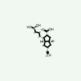 C#C[C@H]1C[C@@H]2C[C@@H](C(=O)O)[C@@H](CCCB(O)O)[C@@H]2C1